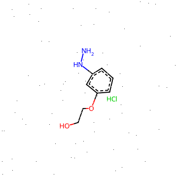 Cl.NNc1cccc(OCCO)c1